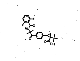 CC(C)(NC(=O)c1c(F)cccc1F)C(=O)c1ccc(C2CC2(C(=O)O)C(C)(C)C)cc1